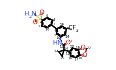 NS(=O)(=O)c1ccc(-c2cc(NC(=O)C3(c4ccc5c(c4)OCO5)CC3)cc(C(F)(F)F)c2)cc1